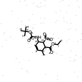 CCOC(=O)C1C(C)C=CC(NC(=O)OC(C)(C)C)C1[N+](=O)[O-]